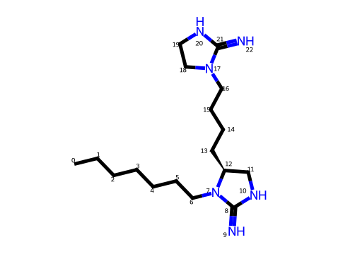 CCCCCCCN1C(=N)NC[C@@H]1CCCCN1CCNC1=N